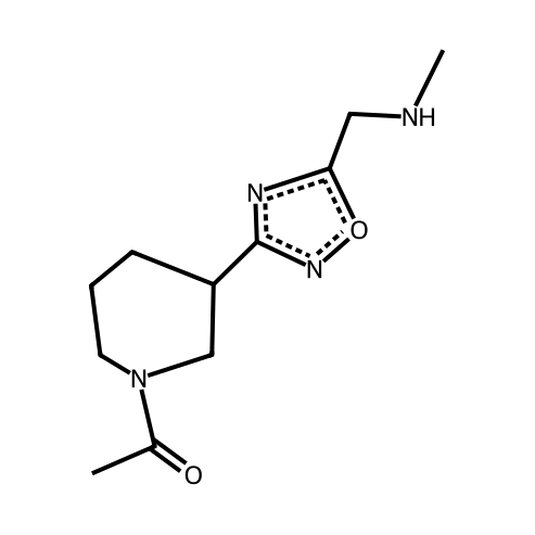 CNCc1nc(C2CCCN(C(C)=O)C2)no1